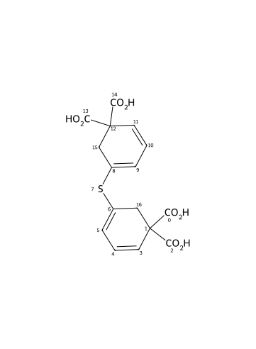 O=C(O)C1(C(=O)O)C=CC=C(SC2=CC=CC(C(=O)O)(C(=O)O)C2)C1